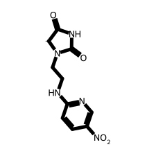 O=C1[CH]N(CCNc2ccc([N+](=O)[O-])cn2)C(=O)N1